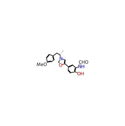 COc1ccc(C[C@H](C)N2C=C(c3ccc(O)c(NC=O)c3)OC2)cc1